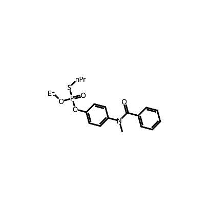 CCCSP(=O)(OCC)Oc1ccc(N(C)C(=O)c2ccccc2)cc1